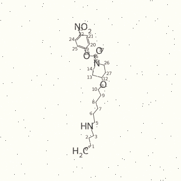 C=CCCNCCCCCCOC1CCN(C(=O)Oc2ccc([N+](=O)[O-])cc2)CC1